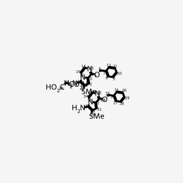 CSc1cc2c(OCc3ccccc3)nccn2c1N.CSc1cc2c(OCc3ccccc3)nccn2c1N.O=C(O)CC(=O)O